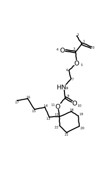 C=C(C)C(=O)OCCNC(=O)OC1(CCCCC)CCCCC1